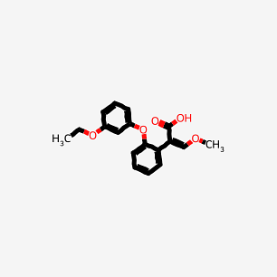 CCOc1cccc(Oc2ccccc2/C(=C/OC)C(=O)O)c1